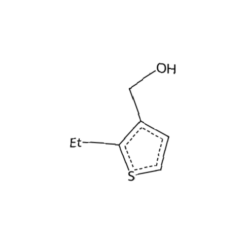 CCc1sccc1CO